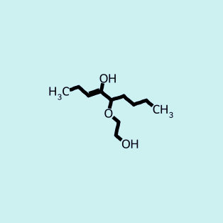 CCC=C(O)C(CCCC)OCCO